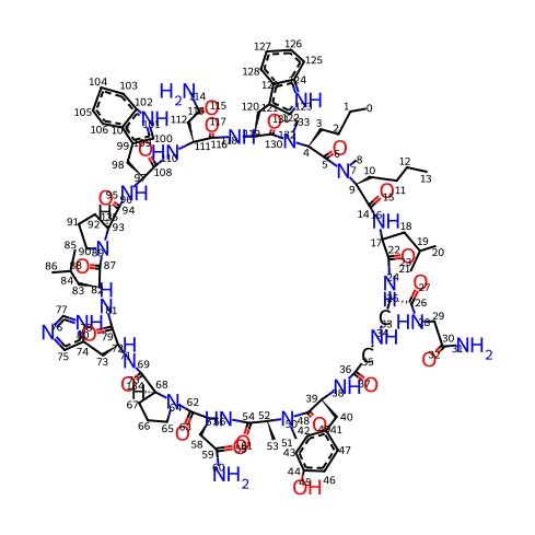 CCCC[C@H]1C(=O)N(C)[C@@H](CCCC)C(=O)NC(CC(C)C)C(=O)N[C@H](C(=O)NCC(N)=O)CNCC(=O)N[C@@H](Cc2ccc(O)cc2)C(=O)N(C)[C@@H](C)C(=O)N[C@@H](CC(N)=O)C(=O)N2CCC[C@H]2C(=O)N[C@@H](Cc2cnc[nH]2)C(=O)N[C@@H](CC(C)C)C(=O)N2CCC[C@H]2C(=O)N[C@@H](Cc2c[nH]c3ccccc23)C(=O)N[C@@H](CC(N)=O)C(=O)N[C@@H](Cc2c[nH]c3ccccc23)C(=O)N1C